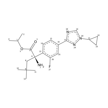 CC(C)OC(=O)[C@@](N)(CC(C)(C)C)c1ccc(-c2ncn(C3CC3)n2)cc1F